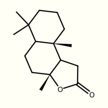 CC1(C)CCC[C@@]2(C)C1CC[C@@]1(C)OC(=O)CC21